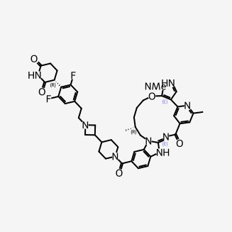 CN/C1=C(\C=N)c2cc(cc(C)n2)C(=O)/N=C2\Nc3ccc(C(=O)N4CCC(C5CN(CCc6cc(F)c([C@H]7CCC(=O)NC7=O)c(F)c6)C5)CC4)cc3N2C[C@H](C)CCCO1